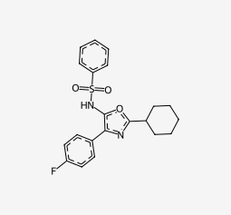 O=S(=O)(Nc1oc(C2CCCCC2)nc1-c1ccc(F)cc1)c1ccccc1